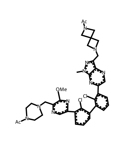 COc1nc(-c2cccc(-c3cccc(-c4cnc5c(CN6CC7(C6)CN(C(C)=O)C7)nn(C)c5n4)c3Cl)c2Cl)cnc1CN1CCN(C(C)=O)CC1